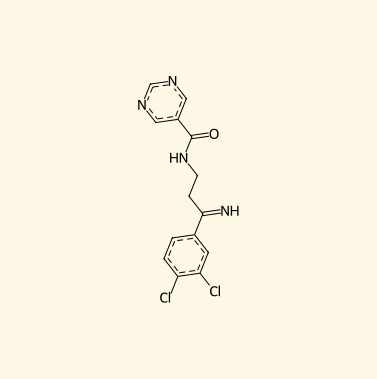 N=C(CCNC(=O)c1cncnc1)c1ccc(Cl)c(Cl)c1